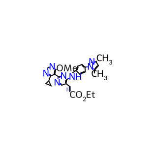 CCOC(=O)/C=C/c1cnc(-c2c(OC)ncnc2C2CC2)nc1NCc1ccc(-n2nc(C)cc2C)cc1